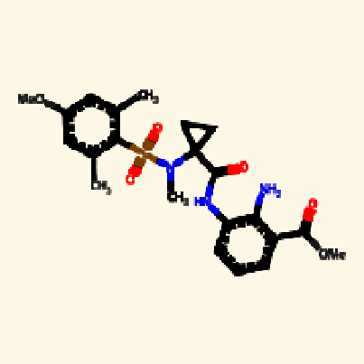 COC(=O)c1cccc(NC(=O)C2(N(C)S(=O)(=O)c3c(C)cc(OC)cc3C)CC2)c1N